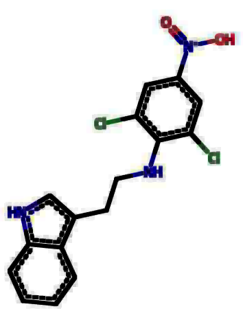 O=[N+](O)c1cc(Cl)c(NCCc2c[nH]c3ccccc23)c(Cl)c1